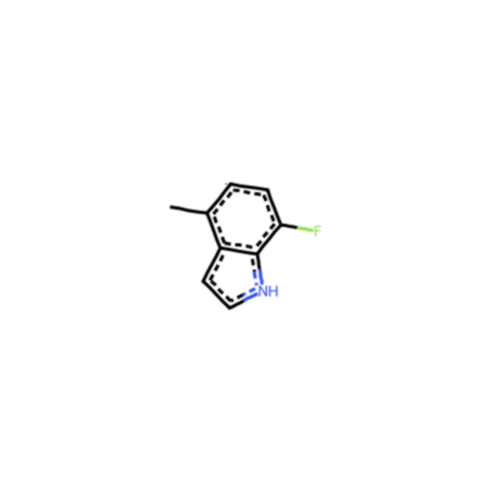 Cc1[c]cc(F)c2[nH]ccc12